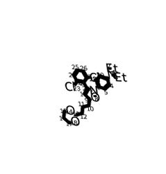 CCN(CC)c1ccc(N2OC(CCCC3OCCCO3)C=C2c2c(Cl)cccc2Cl)cc1